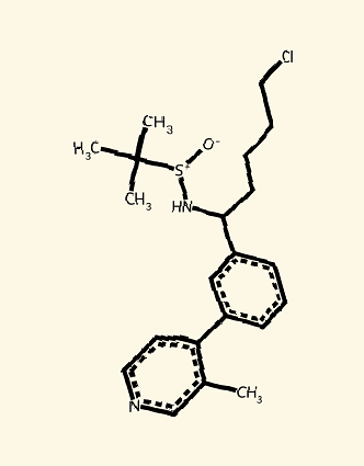 Cc1cnccc1-c1cccc(C(CCCCCl)N[S+]([O-])C(C)(C)C)c1